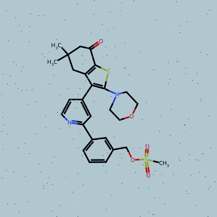 CC1(C)CC(=O)c2sc(N3CCOCC3)c(-c3ccnc(-c4cccc(COS(C)(=O)=O)c4)c3)c2C1